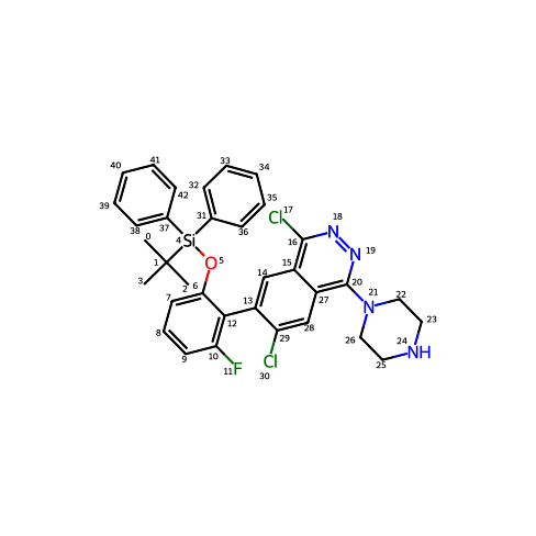 CC(C)(C)[Si](Oc1cccc(F)c1-c1cc2c(Cl)nnc(N3CCNCC3)c2cc1Cl)(c1ccccc1)c1ccccc1